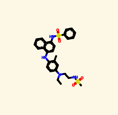 CCN(CCNS(C)(=O)=O)c1ccc(Nc2ccc(NS(=O)(=O)c3ccccc3)c3ccccc23)c(C)c1